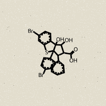 O=C(O)C1C(O)C2(O)c3ccc(Br)cc3SC2(c2ccc(Br)cc2)C1c1ccccc1